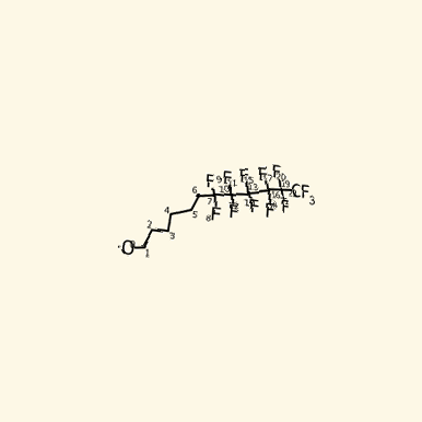 [O]CCCCCCC(F)(F)C(F)(F)C(F)(F)C(F)(F)C(F)(F)C(F)(F)F